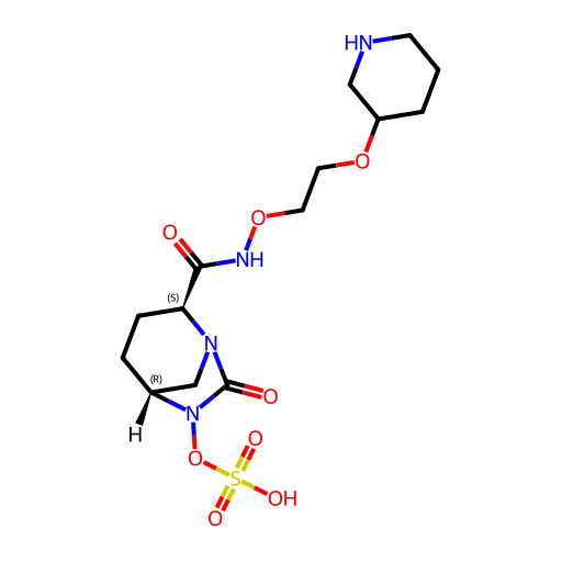 O=C(NOCCOC1CCCNC1)[C@@H]1CC[C@@H]2CN1C(=O)N2OS(=O)(=O)O